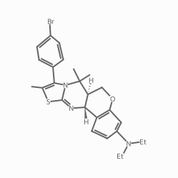 CCN(CC)c1ccc2c(c1)OC[C@H]1[C@H]2N=C2SC(C)=C(c3ccc(Br)cc3)N2C1(C)C